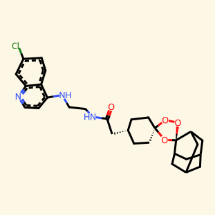 O=C(C[C@H]1CC[C@]2(CC1)OO[C@]1(O2)C2CC3CC(C2)CC1C3)NCCNc1ccnc2cc(Cl)ccc12